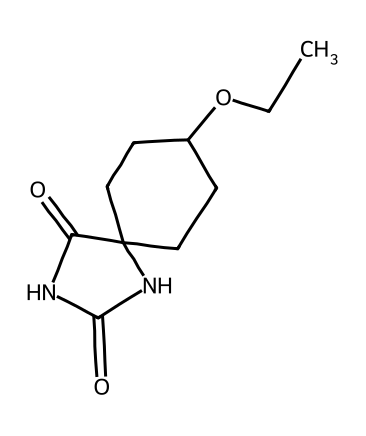 CCOC1CCC2(CC1)NC(=O)NC2=O